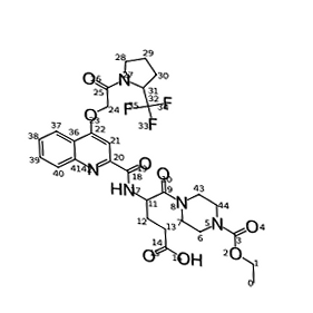 CCOC(=O)N1CCN(C(=O)C(CCC(=O)O)NC(=O)c2cc(OCC(=O)N3CCCC3C(F)(F)F)c3ccccc3n2)CC1